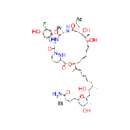 CC[C@@H](C[C@H](C)[C@H]1O[C@@H](C[C@H](O)[C@@H](C)CC/C=C/C=C(\C)[C@@H]2C/C=C/C=C/[C@H](O)[C@H](C)[C@@H](O)[C@@H](CCC(C)=O)C(=O)N[C@@H](C(C)C)C(=O)N[C@@H](Cc3ccc(F)c(O)c3)C(=O)N3CCCC(N3)C(=O)O2)[C@H](C)[C@H](O)[C@@H]1C)C(N)=O